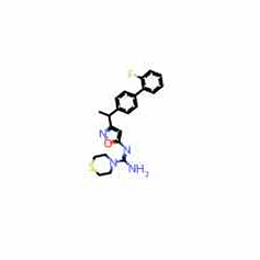 CC(c1ccc(-c2ccccc2F)cc1)c1cc(/N=C(/N)N2CCSCC2)on1